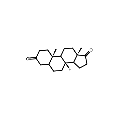 C[C@]12CCC(=O)CC1CC[C@@H]1C2CC[C@]2(C)C(=O)CCC12